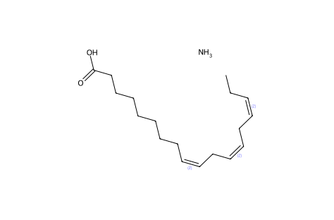 CC/C=C\C/C=C\C/C=C\CCCCCCCC(=O)O.N